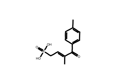 CC(=CCP(=O)(O)O)C(=O)c1ccc(C)cc1